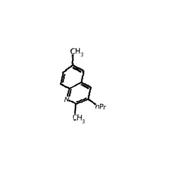 CCCc1cc2cc(C)ccc2nc1C